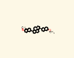 COc1ccc2cc(-c3ccc4ccc5c(-c6ccc7cc(OC)ccc7c6)ccc6ccc3c4c65)ccc2c1